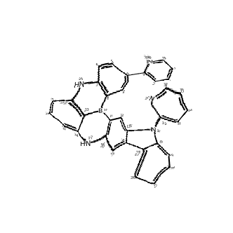 c1ccc(-c2ccc3c(c2)B2c4cc5c(cc4Nc4cccc(c42)N3)c2ccccc2n5-c2ccccn2)nc1